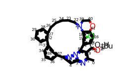 Cc1nc2cc3nn2c(c1[C@H](OC(C)(C)C)C(=O)O)-c1ccc2c(c1Cl)N(CCCCCc1ccccc1-c1cccc-3c1)CCO2